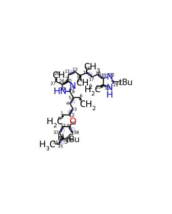 C=C/C(=C\C=C(/C=C)c1nc(/C=C\C(=C)/C(C)=C/C=c2/nc(C(C)(C)C)[nH]c2=C)c(C=C)[nH]1)OC(/C=C\C(=C/C)C(C)(C)C)=C/C